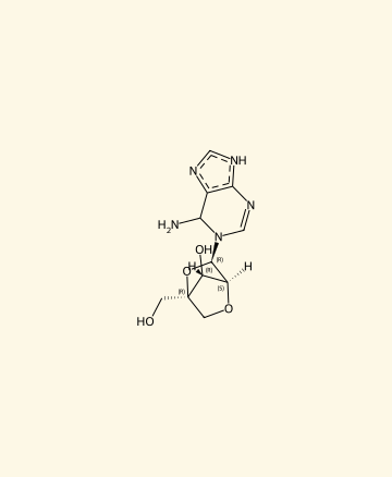 NC1c2nc[nH]c2N=CN1[C@@H]1O[C@]2(CO)CO[C@H]1[C@H]2O